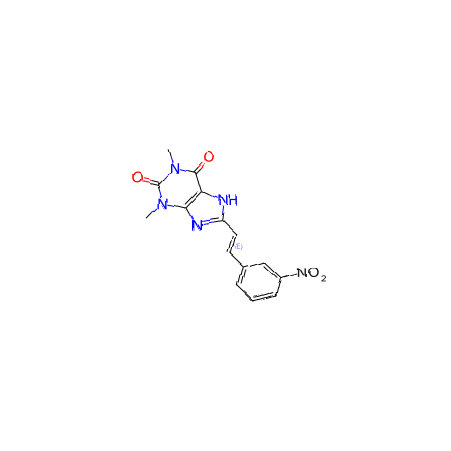 Cn1c(=O)c2[nH]c(/C=C/c3cccc([N+](=O)[O-])c3)nc2n(C)c1=O